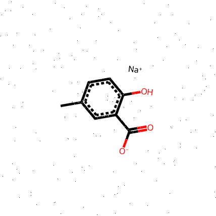 Cc1ccc(O)c(C(=O)[O-])c1.[Na+]